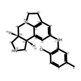 Cc1ccc(Cl)c(Nc2cc3c4c(c2)[C@@H]2CNC[C@@H]2CN4CC3)c1